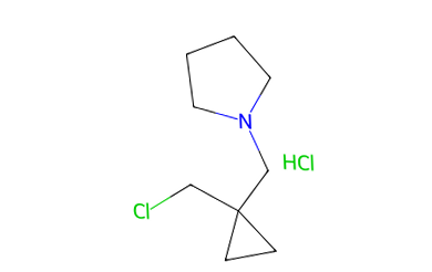 Cl.ClCC1(CN2CCCC2)CC1